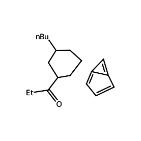 CCCCC1CCCC(C(=O)CC)C1.c1cc2cc-2c1